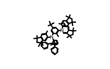 C=C/C=C1\C(=C/N(c2cc3c(cc2C)C(C)(C)CC3(C)C)c2cc(C(C)(C)C)cc(N(c3cc4c(cc3C)C(C)(C)CC4(C)C)C34C=C(C=C3c3ccccc3)C4(C)c3ccccc3)c2C)C(C)(C)CC1(C)C